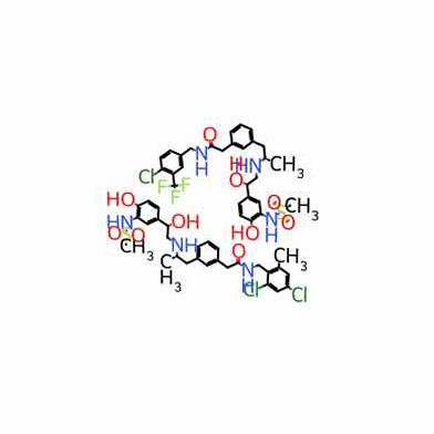 C[C@H](Cc1cccc(CC(=O)NCc2ccc(Cl)c(C(F)(F)F)c2)c1)NC[C@H](O)c1ccc(O)c(NS(C)(=O)=O)c1.Cc1cc(Cl)cc(Cl)c1CNC(=O)Cc1cccc(C[C@@H](C)NC[C@H](O)c2ccc(O)c(NS(C)(=O)=O)c2)c1